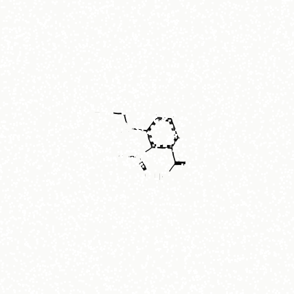 CCOc1cccc(C(=O)O)c1[N+](=O)[O-]